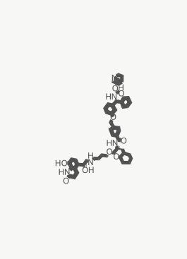 O=C(N[C@@H](c1ccccc1)c1cccc(OCc2ccc(C(=O)N[C@@H](CC3CCCCC3)C(=O)OCCCCNC[C@H](O)c3ccc(O)c4[nH]c(=O)ccc34)cc2)c1)O[C@H]1CN2CCC1CC2